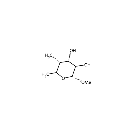 CO[C@@H]1OC(C)[C@H](C)[C@H](O)C1O